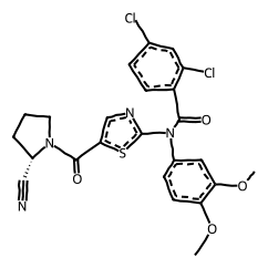 COc1ccc(N(C(=O)c2ccc(Cl)cc2Cl)c2ncc(C(=O)N3CCC[C@H]3C#N)s2)cc1OC